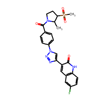 CC1C(S(C)(=O)=O)CCN1C(=O)c1ccc(-n2cc(-c3cc4cc(F)ccc4[nH]c3=O)nn2)cc1